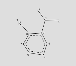 CC(C)c1cccc[c]1[K]